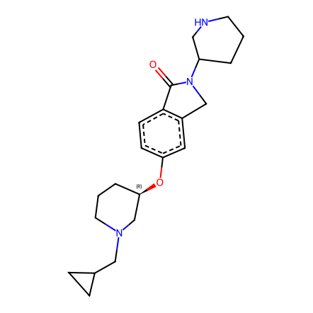 O=C1c2ccc(O[C@@H]3CCCN(CC4CC4)C3)cc2CN1C1CCCNC1